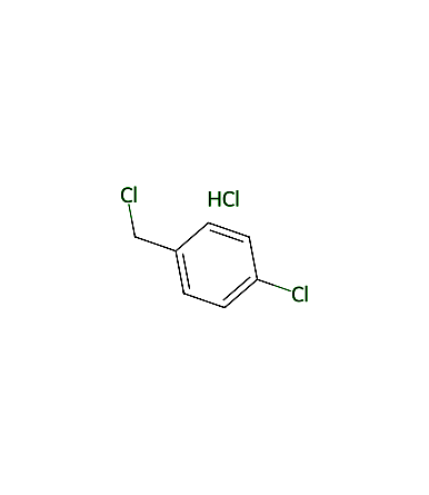 Cl.ClCc1ccc(Cl)cc1